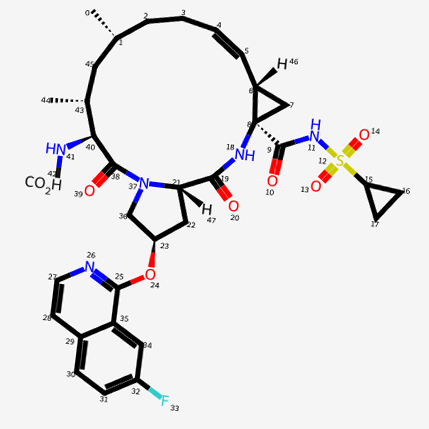 C[C@@H]1CC/C=C\[C@@H]2C[C@@]2(C(=O)NS(=O)(=O)C2CC2)NC(=O)[C@@H]2C[C@@H](Oc3nccc4ccc(F)cc34)CN2C(=O)[C@@H](NC(=O)O)[C@H](C)C1